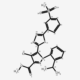 COC(=O)c1nn(-c2ccccc2C(C)C)c(-c2nnc(-c3cccc(S(C)(=O)=O)c3)s2)c1Cl